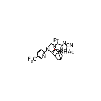 CC(=O)NC12CC3CC(C1)C(N/C(=N\C#N)[C@@H](C(C)C)N1CCN(c4ccc(C(F)(F)F)cn4)CC1)C(C3)C2